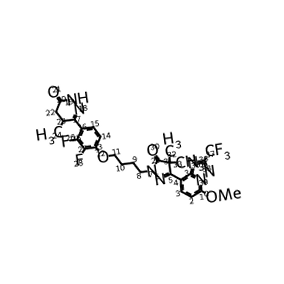 COc1ccc(C2=NN(CCCCOc3ccc(C4=NNC(=O)CC4C)c(F)c3F)C(=O)C2(C)C)c2nc(C(F)(F)F)nn12